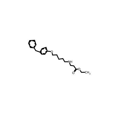 CCOC(=O)CCNCCCCCOc1ccc(Cc2ccccc2)cc1